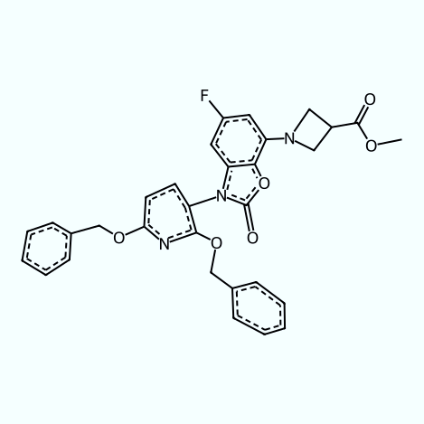 COC(=O)C1CN(c2cc(F)cc3c2oc(=O)n3-c2ccc(OCc3ccccc3)nc2OCc2ccccc2)C1